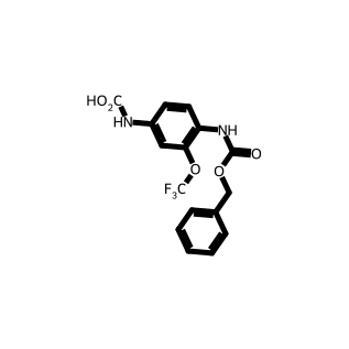 O=C(O)Nc1ccc(NC(=O)OCc2ccccc2)c(OC(F)(F)F)c1